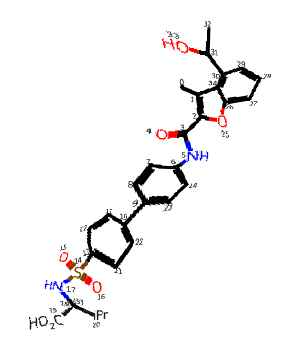 Cc1c(C(=O)Nc2ccc(-c3ccc(S(=O)(=O)N[C@H](C(=O)O)C(C)C)cc3)cc2)oc2cccc(C(C)O)c12